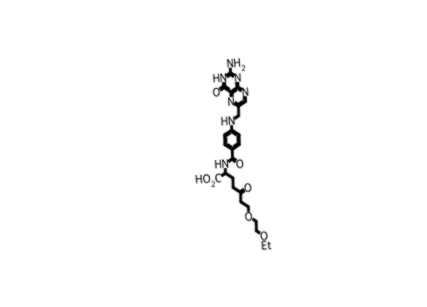 CCOCCOCCC(=O)CCC(NC(=O)c1ccc(NCc2cnc3nc(N)[nH]c(=O)c3n2)cc1)C(=O)O